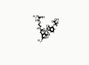 Cc1cc(CC(=O)NCCONC(=N)N)c(NS(=O)(=O)c2ccccc2Cl)c(=O)[nH]1.O=C(O)C(F)(F)F